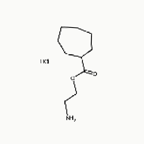 Cl.NCCOC(=O)C1CCCCCC1